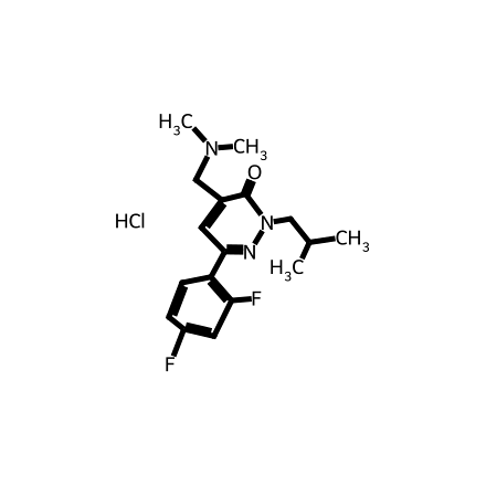 CC(C)Cn1nc(-c2ccc(F)cc2F)cc(CN(C)C)c1=O.Cl